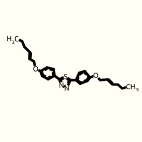 CCCC=CCOc1ccc(-c2nnc(-c3ccc(OCC=CCCC)cc3)s2)cc1